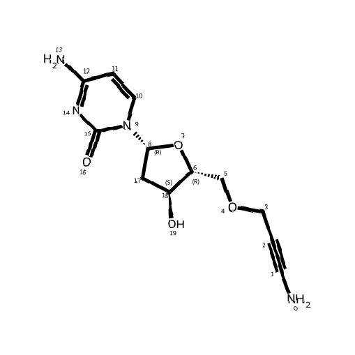 NC#CCOC[C@H]1O[C@@H](n2ccc(N)nc2=O)C[C@@H]1O